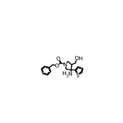 NC1(c2cccs2)CN(C(=O)OCc2ccccc2)CC1CO